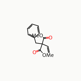 C=CC(Cc1ccccc1)(C(=O)OC)C(=O)OC